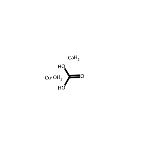 O.O=C(O)O.[CaH2].[Cu]